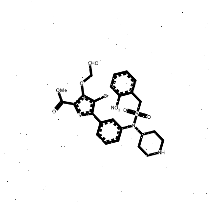 COC(=O)c1sc(-c2cccc(N(C3CCNCC3)S(=O)(=O)Cc3ccccc3[N+](=O)[O-])c2)c(Br)c1OCC=O